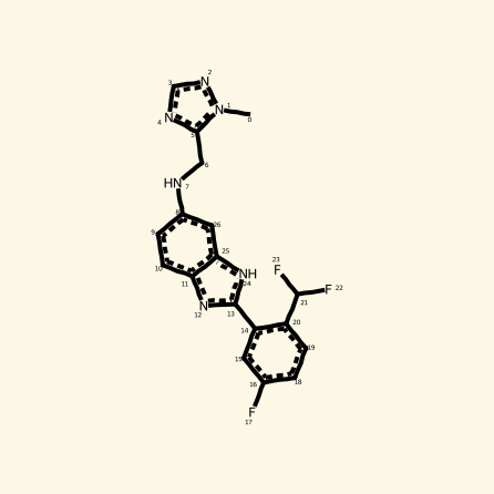 Cn1ncnc1CNc1ccc2nc(-c3cc(F)ccc3C(F)F)[nH]c2c1